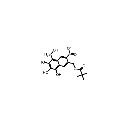 CC(C)(C)C(=O)OCc1cc2c(O)c(O)c(O)c([SiH2]O)c2cc1[N+](=O)[O-]